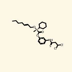 CCCCC=CCO[N+](C)(C(=O)Oc1cccc(NC(=S)CC(Cl)Cl)c1)C1CCCCC1